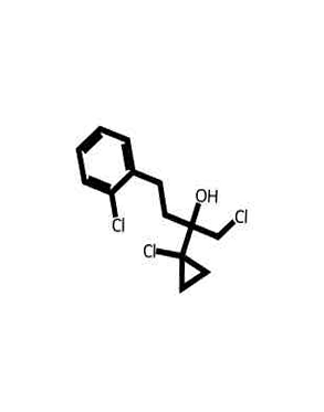 OC(CCl)(CCc1ccccc1Cl)C1(Cl)CC1